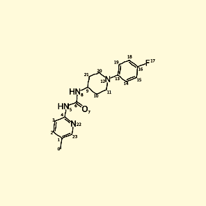 Cc1ccc(NC(=O)NC2CCN(c3ccc(F)cc3)CC2)nc1